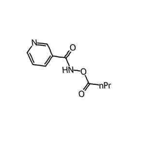 CCCC(=O)ONC(=O)c1cccnc1